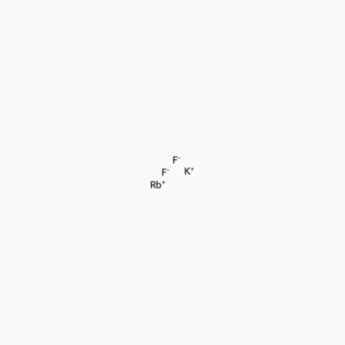 [F-].[F-].[K+].[Rb+]